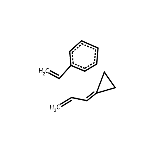 C=CC=C1CC1.C=Cc1ccccc1